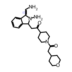 N/C=C1/c2ccccc2C(CC(=O)C2CCN(C(=O)CC3CCOCC3)CC2)N1N